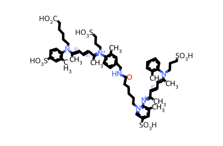 C\C(=C/C=C/C(C)=[N+](\CCCS(=O)(=O)O)c1ccc(CNC(=O)CCCCC[n+]2cc(S(=O)(=O)O)cc(C)c2/N=C(C)/C=C/C=C(\C)N(CCCS(=O)(=O)O)c2ccccc2C)cc1C)N(CCCCCC(=O)O)c1ccc(S(=O)(=O)O)cc1C